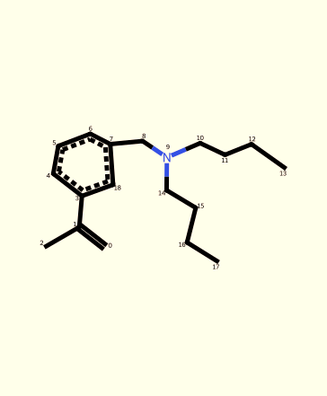 C=C(C)c1cccc(CN(CCCC)CCCC)c1